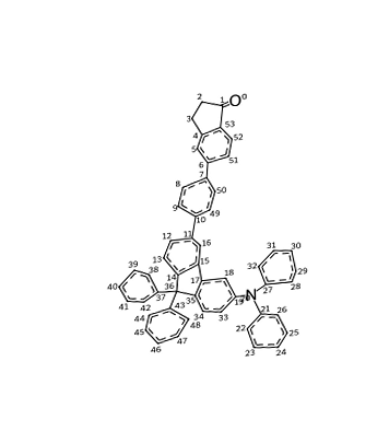 O=C1CCc2cc(-c3ccc(-c4ccc5c(c4)-c4cc(N(c6ccccc6)c6ccccc6)ccc4C5(c4ccccc4)c4ccccc4)cc3)ccc21